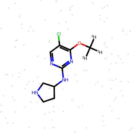 [2H]C([2H])([2H])Oc1nc(NC2CCNC2)ncc1Cl